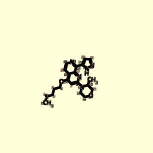 CSCCCOc1cc(N2CCOCC2C)nc2c(-c3ccn[nH]3)nccc12